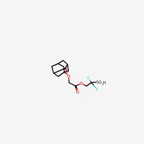 O=C(COC12CC3CC(C1)C(=O)C(C3)C2)OCC(F)(F)S(=O)(=O)O